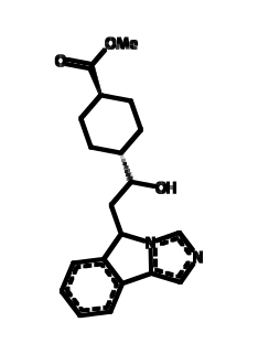 COC(=O)[C@H]1CC[C@H](C(O)CC2c3ccccc3-c3cncn32)CC1